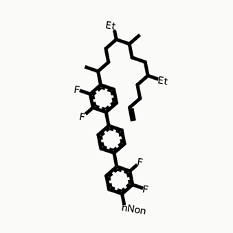 C=CCCC(CC)CCC(C)C(CC)CCC(C)c1ccc(-c2ccc(-c3ccc(CCCCCCCCC)c(F)c3F)cc2)c(F)c1F